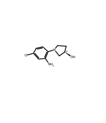 Nc1cc(Cl)ccc1N1CC[C@@H](O)C1